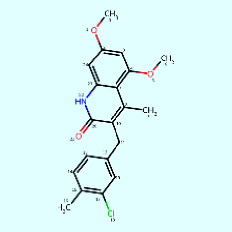 COc1cc(OC)c2c(C)c(Cc3ccc(C)c(Cl)c3)c(=O)[nH]c2c1